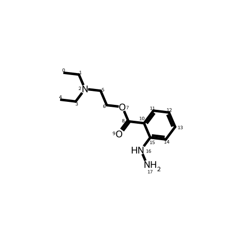 CCN(CC)CCOC(=O)c1ccccc1NN